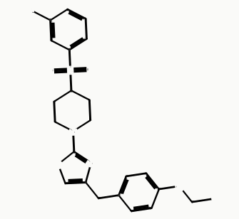 CCOc1ccc(Cc2csc(N3CCC(S(=O)(=O)c4cccc(Cl)c4)CC3)n2)cc1